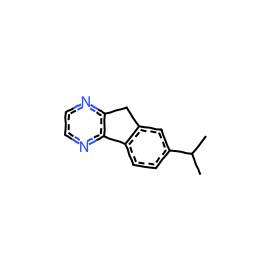 CC(C)c1ccc2c(c1)Cc1nccnc1-2